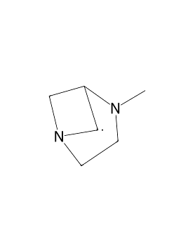 CN1CCN2[CH]C1C2